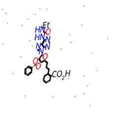 CCNC(=O)Nc1ncnc2c1ncn2C1OC(CCCC2CCCCC2C(=O)O)C2O[C@H](c3ccccc3)OC21